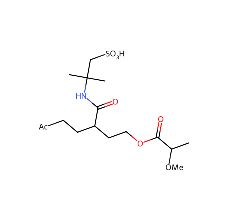 COC(C)C(=O)OCCC(CCC(C)=O)C(=O)NC(C)(C)CS(=O)(=O)O